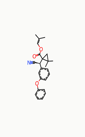 CC(C)=COC(=O)C1([C@H](C#N)c2cccc(Oc3ccccc3)c2)CC1(C)C